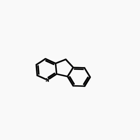 c1ccc2c(c1)Cc1cccnc1-2